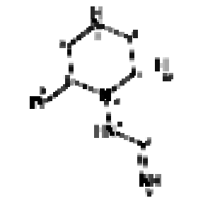 CC(C)C1CNCCN1NC=N.I